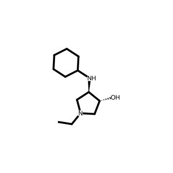 CCN1C[C@@H](O)[C@H](NC2CCCCC2)C1